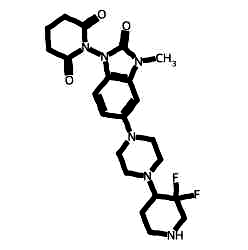 Cn1c(=O)n(N2C(=O)CCCC2=O)c2ccc(N3CCN(C4CCNCC4(F)F)CC3)cc21